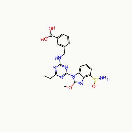 CCc1nc(NCc2cccc(B(O)O)c2)nc(-n2c(OC)nc3c([S+](N)[O-])cccc32)n1